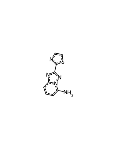 Nc1cccc2nc(-c3nccs3)nn12